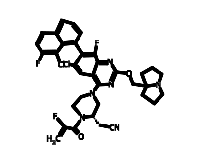 C=C(F)C(=O)N1CCN(c2nc(OCC34CCCN3CCC4)nc3c(F)c(-c4cccc5ccc(F)c(Cl)c45)c(Cl)cc23)C[C@@H]1CC#N